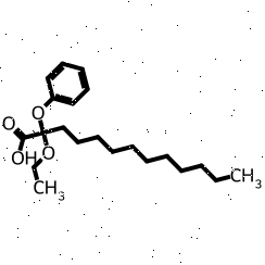 CCCCCCCCCCCC(OCC)(Oc1ccccc1)C(=O)O